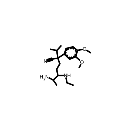 CCNC(CCC(C#N)(c1ccc(OC)c(OC)c1)C(C)C)C(C)N